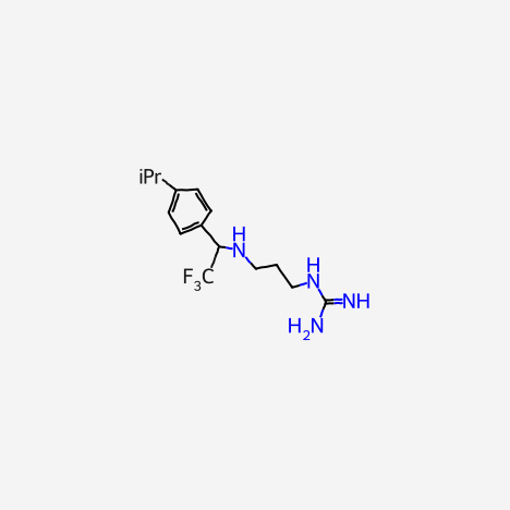 CC(C)c1ccc(C(NCCCNC(=N)N)C(F)(F)F)cc1